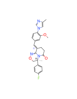 COc1cc(/C=C2\CCC(=O)N3C2=NOC[C@]3(C)c2ccc(F)cc2)ccc1-n1cnc(C)c1